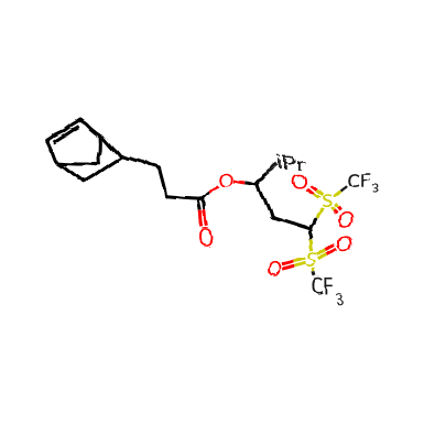 CC(C)C(CC(S(=O)(=O)C(F)(F)F)S(=O)(=O)C(F)(F)F)OC(=O)CCC1CC2C=CC1C2